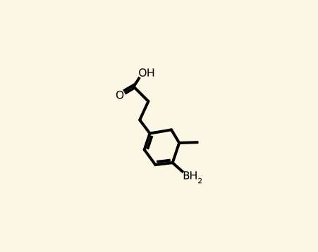 BC1=CC=C(CCC(=O)O)CC1C